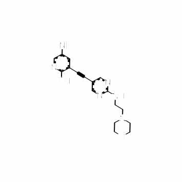 Cc1ncc(N)cc1C#Cc1cnc(NCCN2CCOCC2)nc1